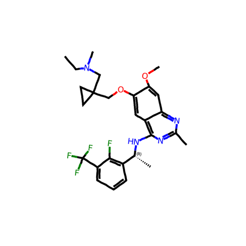 CCN(C)CC1(COc2cc3c(N[C@H](C)c4cccc(C(F)(F)F)c4F)nc(C)nc3cc2OC)CC1